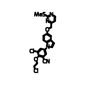 CSc1nccc(COc2ccc3c(ccn3-c3cc(Cl)c(OCCCl)c(C#N)c3)c2)n1